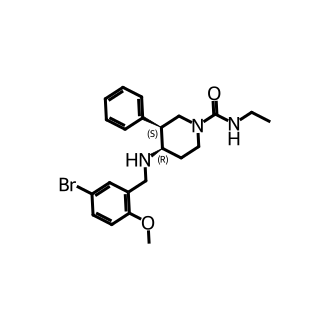 CCNC(=O)N1CC[C@@H](NCc2cc(Br)ccc2OC)[C@@H](c2ccccc2)C1